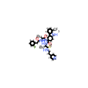 CCC(C)[C@H](NC(=O)Cc1ccccc1F)C(=O)N[C@]1(C(=O)N[C@H](C(=S)NCCc2ccncc2)C(C)CC)CCc2[nH]c3c(C(F)(F)F)cccc3c2C1